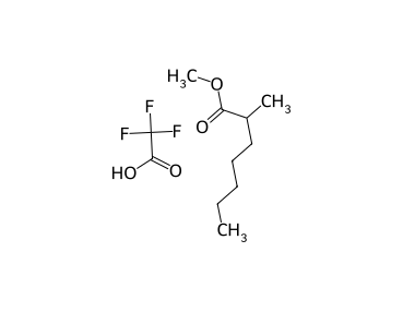 CCCCCC(C)C(=O)OC.O=C(O)C(F)(F)F